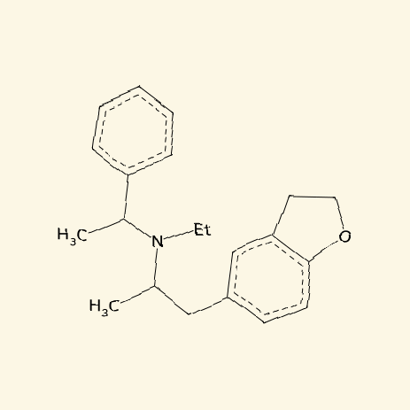 CCN(C(C)Cc1ccc2c(c1)CCO2)C(C)c1ccccc1